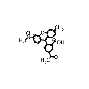 C=c1ccc2c(c1)Oc1cc(N(C)C)ccc1C=2c1ccc(C(C)=O)cc1C(=O)O